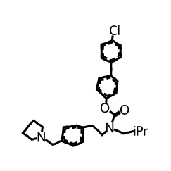 CC(C)CN(CCc1ccc(CN2CCCC2)cc1)C(=O)Oc1ccc(-c2ccc(Cl)cc2)cc1